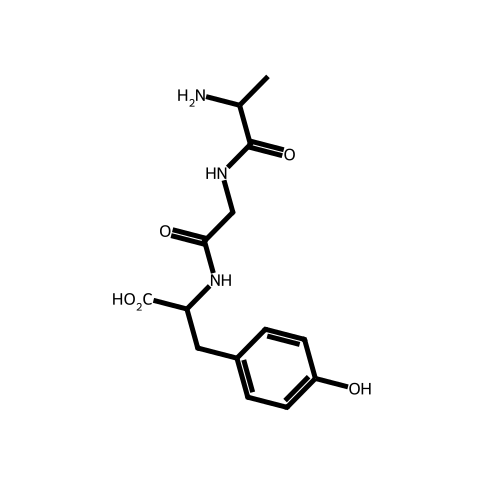 CC(N)C(=O)NCC(=O)NC(Cc1ccc(O)cc1)C(=O)O